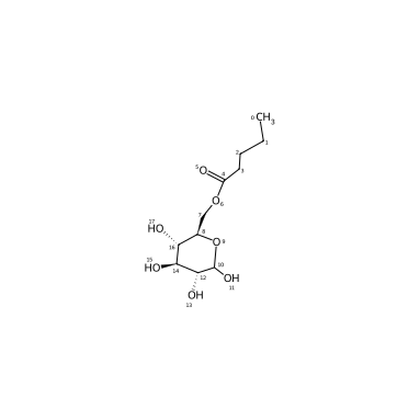 CCCCC(=O)OC[C@H]1OC(O)[C@H](O)[C@@H](O)[C@@H]1O